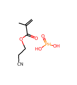 C=C(C)C(=O)OCCC#N.O=[PH](O)O